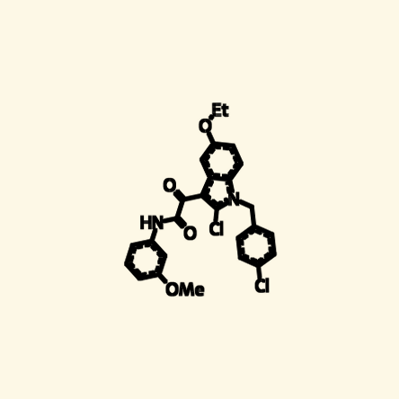 CCOc1ccc2c(c1)c(C(=O)C(=O)Nc1cccc(OC)c1)c(Cl)n2Cc1ccc(Cl)cc1